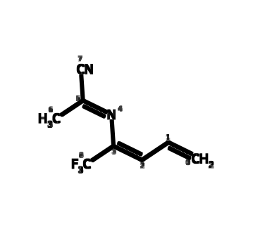 C=C/C=C(\N=C(/C)C#N)C(F)(F)F